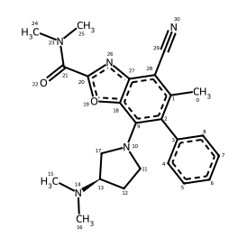 Cc1c(-c2ccccc2)c(N2CC[C@@H](N(C)C)C2)c2oc(C(=O)N(C)C)nc2c1C#N